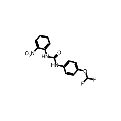 O=C(Nc1ccc(OC(F)F)cc1)Nc1ccccc1[N+](=O)[O-]